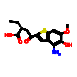 CC[C@H](CC(=O)c1cc2c(N)c(O)c(OC)cc2s1)C(=O)O